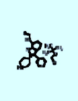 CC(C)(C)OC=O.O=CNc1cccc2c(-c3ccccc3)n(C3CCNCC3)nc12